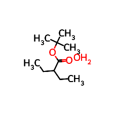 CCC(CC)C(=O)OC(C)(C)C.O